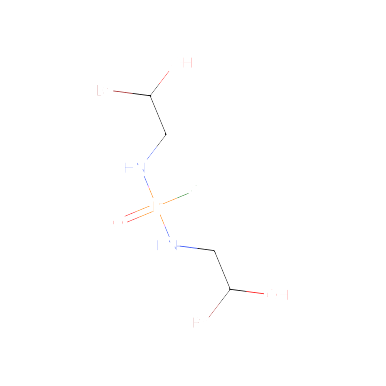 O=P(Cl)(NCC(O)Br)NCC(O)Br